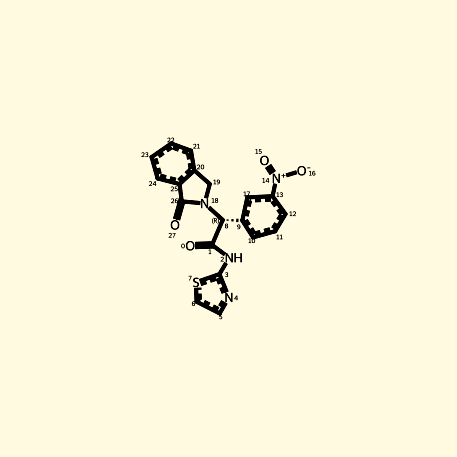 O=C(Nc1nccs1)[C@@H](c1cccc([N+](=O)[O-])c1)N1Cc2ccccc2C1=O